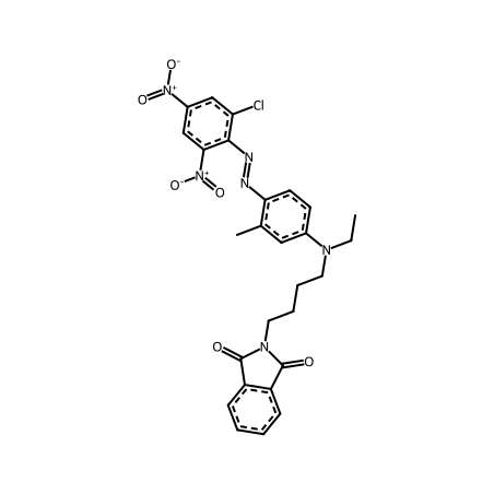 CCN(CCCCN1C(=O)c2ccccc2C1=O)c1ccc(/N=N/c2c(Cl)cc([N+](=O)[O-])cc2[N+](=O)[O-])c(C)c1